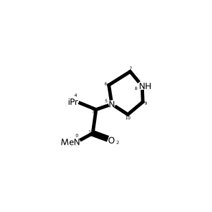 CNC(=O)C(C(C)C)N1CCNCC1